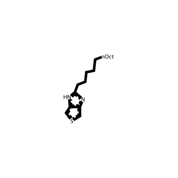 CCCCCCCCCCCCCc1nc2cscc2[nH]1